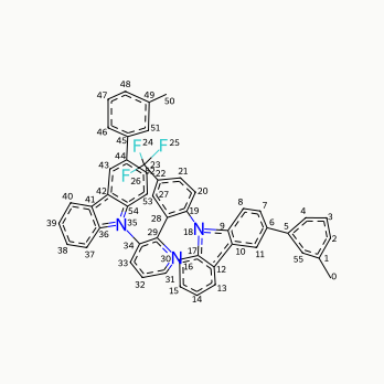 Cc1cccc(-c2ccc3c(c2)c2ccccc2n3-c2ccc(C(F)(F)F)cc2-c2ncccc2-n2c3ccccc3c3cc(-c4cccc(C)c4)ccc32)c1